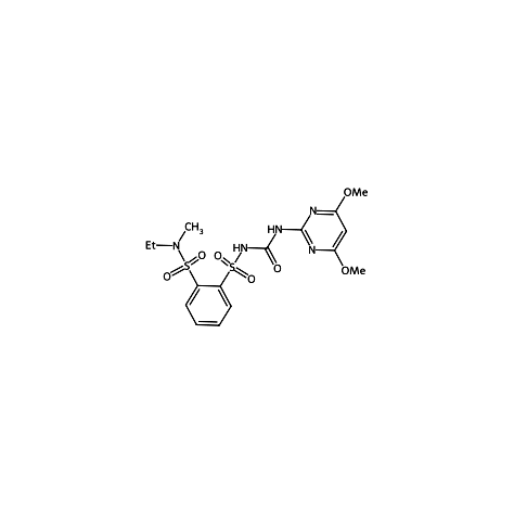 CCN(C)S(=O)(=O)c1ccccc1S(=O)(=O)NC(=O)Nc1nc(OC)cc(OC)n1